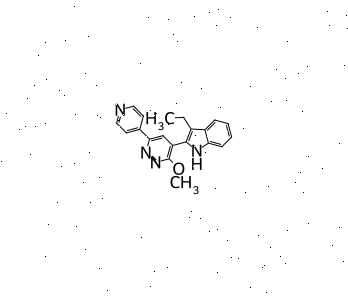 CCc1c(-c2cc(-c3ccncc3)nnc2OC)[nH]c2ccccc12